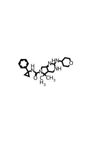 CC1(C)C2CNC(NC3CCOCC3)N=C2CN1C(=O)NC1(c2ccccc2)CC1